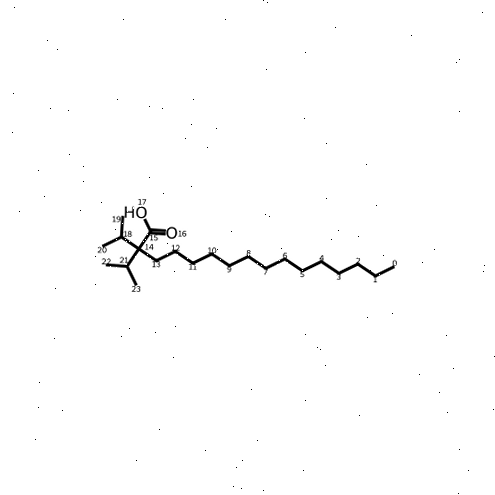 CCCCCCCCCCCCCCC(C(=O)O)(C(C)C)C(C)C